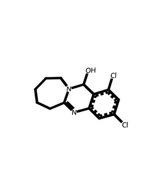 OC1c2c(Cl)cc(Cl)cc2N=C2CCCCCN21